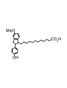 COc1ccc2c(c1)CC(c1ccc(O)cc1)C2CCCCCCCCCCCC(=O)O